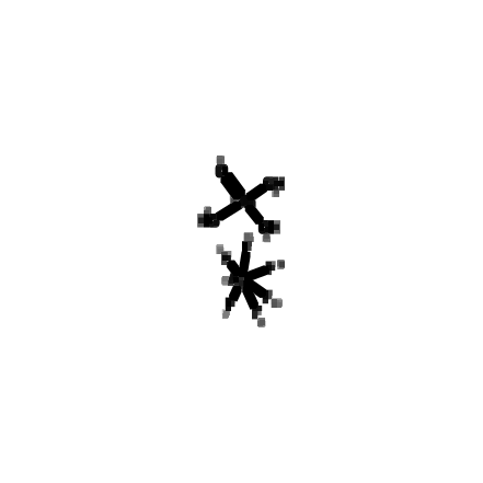 O=[As](O)(O)O.[F][Ag]([F])([F])([F])([F])[F]